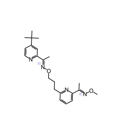 CO/N=C(\C)c1cccc(CCCO/N=C(\C)c2cc(C(C)(C)C)ccn2)n1